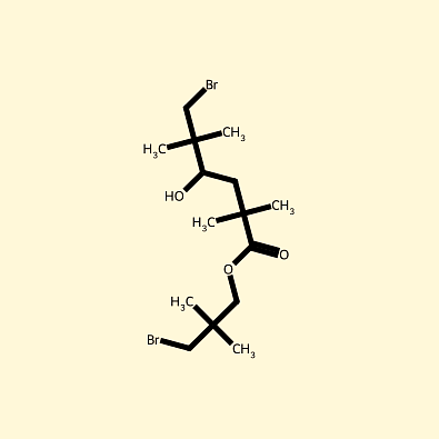 CC(C)(CBr)COC(=O)C(C)(C)CC(O)C(C)(C)CBr